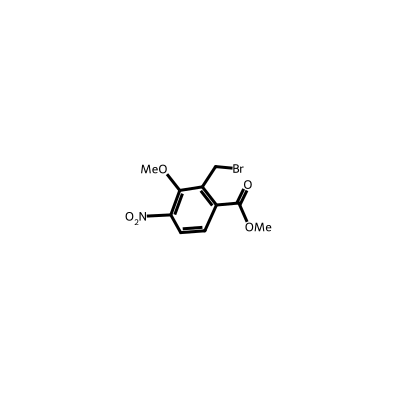 COC(=O)c1ccc([N+](=O)[O-])c(OC)c1CBr